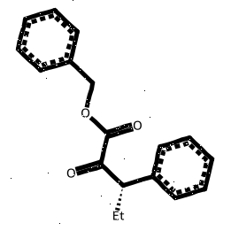 CC[C@H](C(=O)C(=O)OCc1ccccc1)c1ccccc1